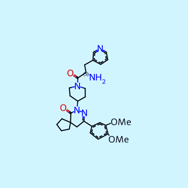 COc1ccc(C2=NN(C3CCN(C(=O)[C@@H](N)Cc4cccnc4)CC3)C(=O)C3(CCCC3)C2)cc1OC